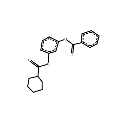 O=C(Oc1cccc(OC(=O)C2CCCCC2)c1)c1ccccc1